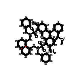 COC(=O)c1ccccc1-c1c2ccc(=N)c(S(=O)(=O)N(Cc3ccccn3)Cc3ccccn3)c-2oc2c(S(=O)(=O)N(Cc3ccccn3)Cc3ccccn3)c(N)ccc12